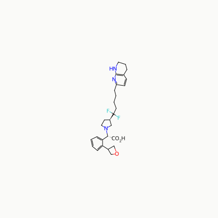 O=C(O)[C@H](c1ccccc1C1COC1)N1CC[C@@H](C(F)(F)CCCCc2ccc3c(n2)NCCC3)C1